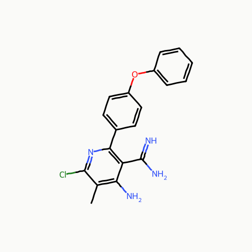 Cc1c(Cl)nc(-c2ccc(Oc3ccccc3)cc2)c(C(=N)N)c1N